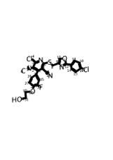 [C-]#[N+]c1c(Cl)nc(SCc2coc(-c3ccc(Cl)cc3)n2)c(C#N)c1-c1ccc(OCCO)c(F)c1